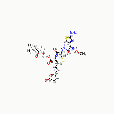 CO/N=C(\C(=O)N[C@@H]1C(=O)N2C(C(=O)OCOC(=O)C(C)(C)C)=C(/C=C/C3CCC(=O)O3)CS[C@H]12)c1csc(N)n1